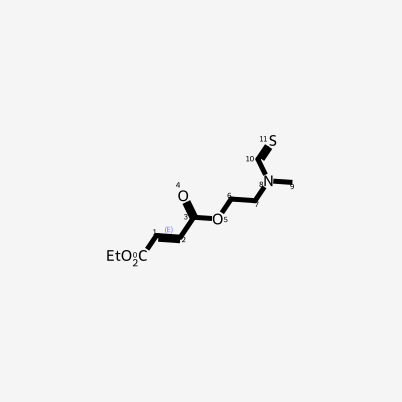 CCOC(=O)/C=C/C(=O)OCCN(C)C=S